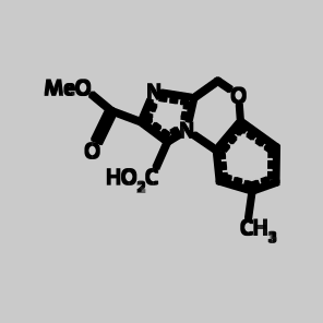 COC(=O)c1nc2n(c1C(=O)O)-c1cc(C)ccc1OC2